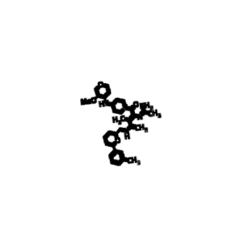 C=C(NC[C@@H]1CCC[C@H](c2cccc(C)c2)O1)/C(C)=C(\N=C(\C)N)C(=O)N1CCC(N[C@H]2CCOC[C@H]2OC)CC1